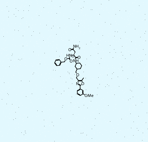 COc1cccc(-c2nc(COCC3CCCC(NC(=O)[C@H](CC(N)=O)NC(=O)OCc4ccccc4)C3)c(C)o2)c1